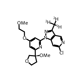 [2H]C([2H])([2H])c1nn(-c2cc(OCCOC)cc([C@]3(OC)CCOC3)n2)c2cc(Cl)ncc12